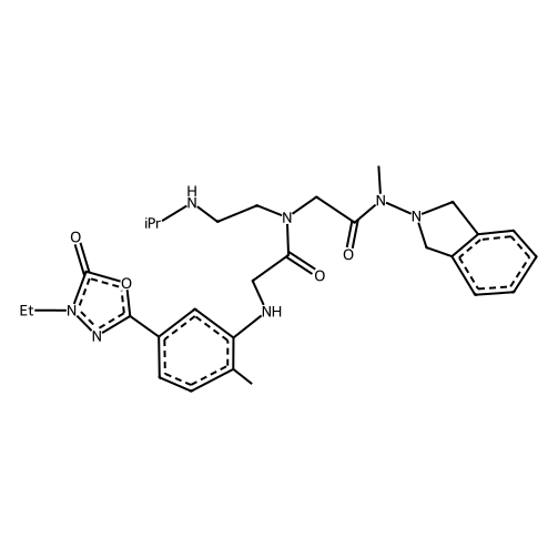 CCn1nc(-c2ccc(C)c(NCC(=O)N(CCNC(C)C)CC(=O)N(C)N3Cc4ccccc4C3)c2)oc1=O